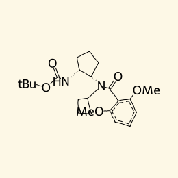 COc1cccc(OC)c1C(=O)N(C1CCC1)[C@H]1CCC[C@H]1NC(=O)OC(C)(C)C